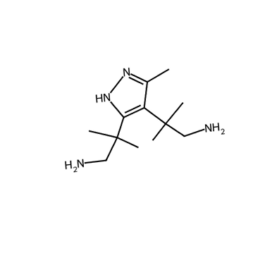 Cc1n[nH]c(C(C)(C)CN)c1C(C)(C)CN